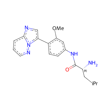 COc1cc(NC(=O)[C@H](N)CC(C)C)ccc1-c1cnc2cccnn12